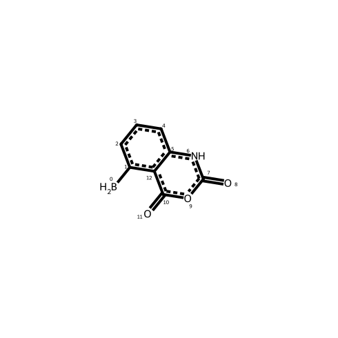 Bc1cccc2[nH]c(=O)oc(=O)c12